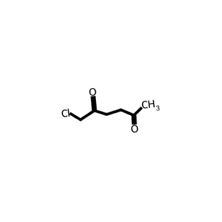 CC(=O)CCC(=O)CCl